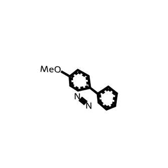 COc1ccc(-c2ccccc2)cc1.N#N